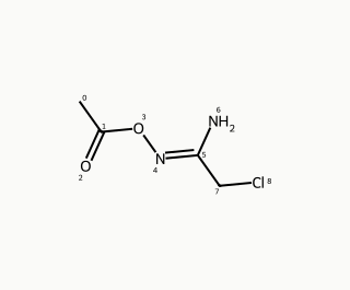 CC(=O)ON=C(N)CCl